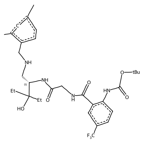 CCC(O)(CC)[C@H](CNCc1ccc(C)cc1C)NC(=O)CNC(=O)c1cc(C(F)(F)F)ccc1NC(=O)OC(C)(C)C